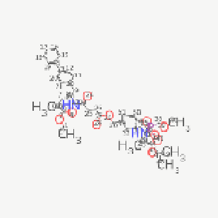 CCOC(=O)[C@H](C)C[C@H](Cc1ccc(-c2ccccc2)cc1)NC(=O)CCC(=O)OCc1ccc(OP(=O)(COC)N[C@@H](C)C(=O)OC(C)C)cc1